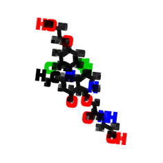 Cc1cc(=O)c2c(OCC(=O)NCCO)ncc(Cl)c2n1-c1c(Cl)cc(OCCO)cc1Cl